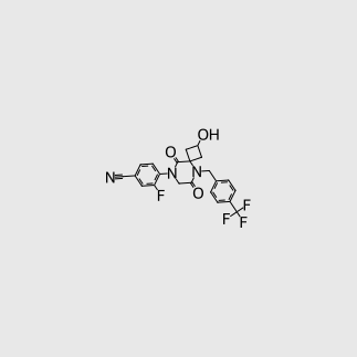 N#Cc1ccc(N2CC(=O)N(Cc3ccc(C(F)(F)F)cc3)C3(CC(O)C3)C2=O)c(F)c1